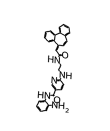 Nc1ccccc1NC(=O)c1ccc(NCCNC(=O)C=C2C=Cc3ccccc3-c3ccccc32)nc1